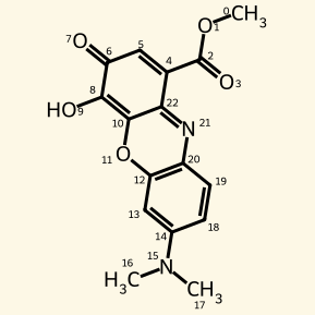 COC(=O)c1cc(=O)c(O)c2oc3cc(N(C)C)ccc3nc1-2